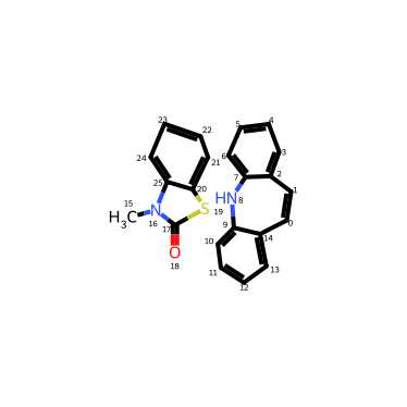 C1=Cc2ccccc2Nc2ccccc21.Cn1c(=O)sc2ccccc21